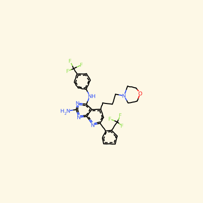 Nc1nc(Nc2ccc(C(F)(F)F)cc2)c2c(CCCN3CCOCC3)cc(-c3ccccc3C(F)(F)F)nc2n1